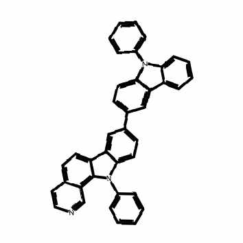 c1ccc(-n2c3ccccc3c3cc(-c4ccc5c(c4)c4ccc6ccncc6c4n5-c4ccccc4)ccc32)cc1